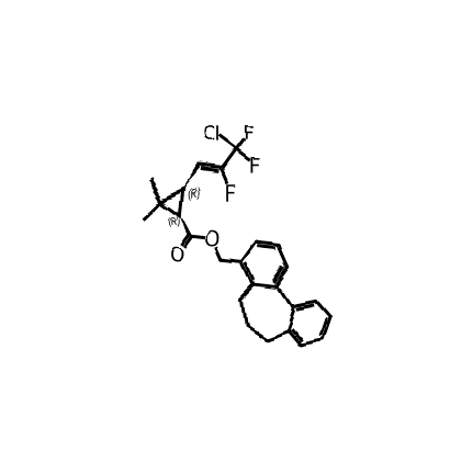 CC1(C)[C@H](C(=O)OCc2cccc3c2CCCc2ccccc2-3)[C@@H]1C=C(F)C(F)(F)Cl